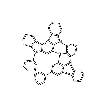 c1ccc(-c2cc3c4c(c2)c2ccccc2n4-c2cccc4c2B3c2cc3c(c5ccccc5n3-c3ccccc3)c3c5ccccc5n-4c23)cc1